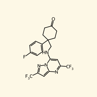 O=C1CCC(CNc2cc(C(F)(F)F)nc3cc(C(F)(F)F)nn23)(c2ccc(F)cc2)CC1